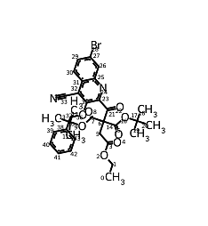 CCOC(=O)CC(C(=O)OC(C)(C)C)(C(=O)OC(C)(C)C)C(=O)c1nc2cc(Br)ccc2c(C#N)c1OCc1ccccc1